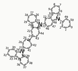 c1ccc(-n2c3ccccc3c3cc(-n4c5ccccc5c5cc(-c6ccc(-n7c8ccccc8c8ccccc87)cc6)ccc54)ccc32)cc1